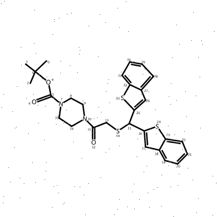 CC(C)(C)OC(=O)N1CCN(C(=O)CSC(c2cc3ccccc3s2)c2cc3ccccc3s2)CC1